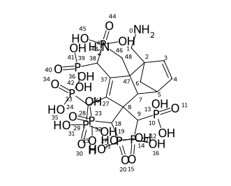 NCC12C=CC(C1)C1C(C(P(=O)(O)O)P(=O)(O)O)(C(P(=O)(O)O)P(=O)(O)O)C(C(P(=O)(O)O)P(=O)(O)O)=C(C(P(=O)(O)O)P(=O)(O)O)C12CN